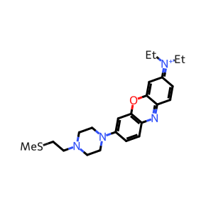 CC[N+](CC)=c1ccc2nc3ccc(N4CCN(CCSC)CC4)cc3oc-2c1